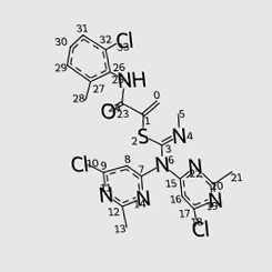 C=C(S/C(=N\C)N(c1cc(Cl)nc(C)n1)c1cc(Cl)nc(C)n1)C(=O)Nc1c(C)cccc1Cl